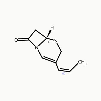 C/C=C\C1=CN2C(=O)C[C@@H]2SC1